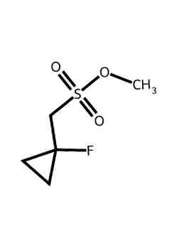 COS(=O)(=O)CC1(F)CC1